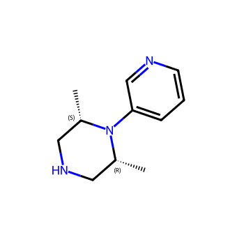 C[C@@H]1CNC[C@H](C)N1c1cccnc1